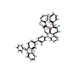 C1=Cc2oc3cc(N(c4ccc(-c5ccc6c(c5)c5ccccc5n6-c5ccccc5)cc4)c4ccccc4-c4ccc(-c5ccccc5)cc4)ccc3c2CC1